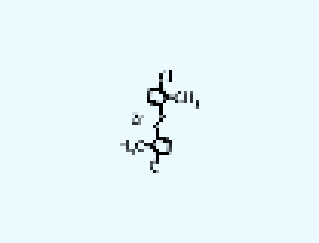 CC1=C(Cl)CC=C1CCC1=CCC(Cl)=C1C.[Zr]